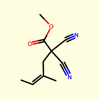 CC=C(C)CC(C#N)(C#N)C(=O)OC